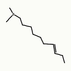 CCC=CCCCCCCB(C)C